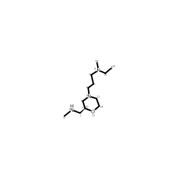 CNC[C@H]1CN(CCCN(C)CI)CCO1